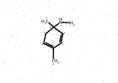 CC1=CCC(C)(NN)C=C1